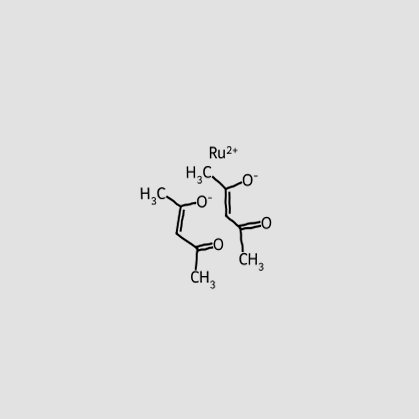 CC(=O)/C=C(/C)[O-].CC(=O)/C=C(/C)[O-].[Ru+2]